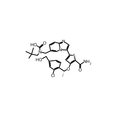 C[C@@H](Oc1cc(-c2cnc3ccc(CN(CC(C)(C)C)C(=O)O)cn23)sc1C(N)=O)c1ccc(CO)cc1Cl